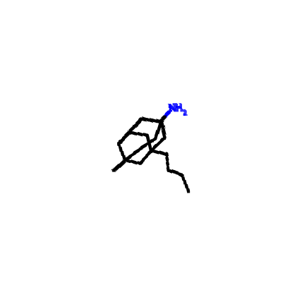 CCCCC12CC3CC(C)(CC(N)(C3)C1)C2